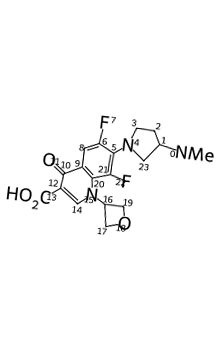 CNC1CCN(c2c(F)cc3c(=O)c(C(=O)O)cn(C4COC4)c3c2F)C1